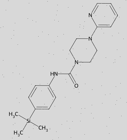 C[Si](C)(C)c1ccc(NC(=O)N2CCN(c3ccccn3)CC2)cc1